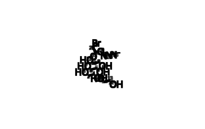 OCCO.OCCO.OCCO.OCCO.[N-]=[N+]=NOC(=O)CBr